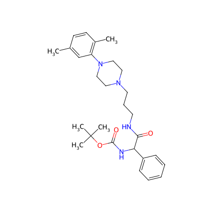 Cc1ccc(C)c(N2CCN(CCCNC(=O)C(NC(=O)OC(C)(C)C)c3ccccc3)CC2)c1